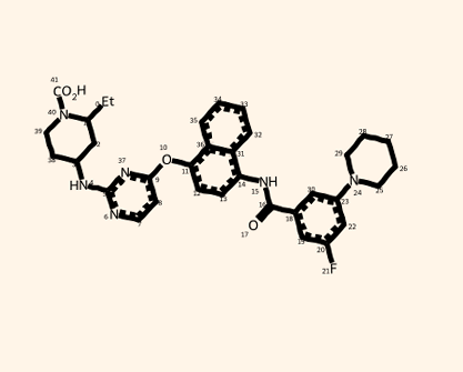 CCC1CC(Nc2nccc(Oc3ccc(NC(=O)c4cc(F)cc(N5CCCCC5)c4)c4ccccc34)n2)CCN1C(=O)O